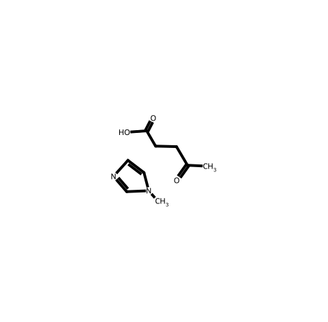 CC(=O)CCC(=O)O.Cn1ccnc1